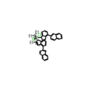 CCC1=Cc2c(-c3ccc4ccccc4c3)cccc2[CH]1[Zr]([Cl])([Cl])([CH]1C(C)=Cc2c(-c3ccc4ccccc4c3)cccc21)[SiH](CC)CC